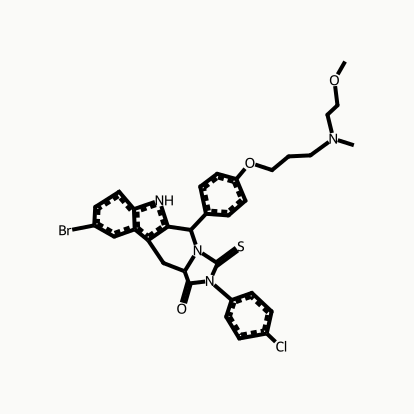 COCCN(C)CCCOc1ccc(C2c3[nH]c4ccc(Br)cc4c3CC3C(=O)N(c4ccc(Cl)cc4)C(=S)N32)cc1